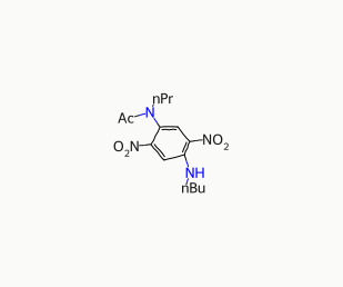 CCCCNc1cc([N+](=O)[O-])c(N(CCC)C(C)=O)cc1[N+](=O)[O-]